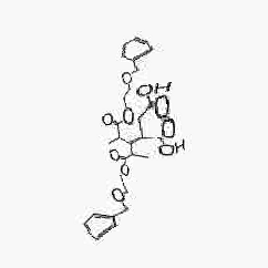 CC(C(=O)OCCOCc1ccccc1)C(=C(CC(=O)O)C(=O)O)C(C)C(=O)OCCOCc1ccccc1